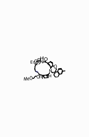 CC[C@@H]1CC/C=C/[C@H](OCCOC)[C@@H]2CC[C@H]2CN2C[C@@]3(CCCc4cc(C)ccc43)COc3ccc(cc32)C(=O)NS1(=O)=O